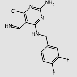 N=Cc1c(Cl)nc(N)nc1NCc1ccc(F)c(F)c1